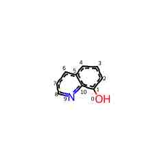 Oc1cccc2c[c]cnc12